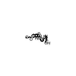 COCCC(=O)N1CCc2cc(OC)c(C(=O)Nc3cccc(-c4nncn4[C@H](C)CO)n3)cc2C1